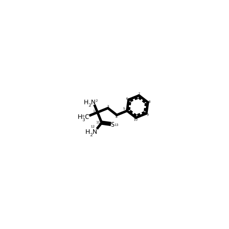 CC(N)(CCc1ccccc1)C(N)=S